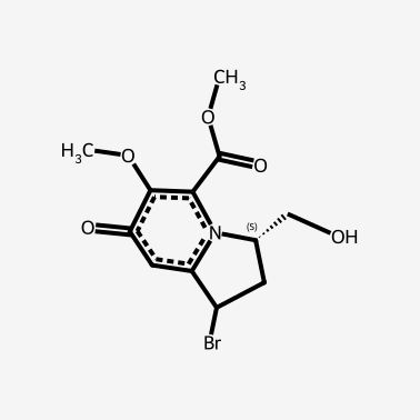 COC(=O)c1c(OC)c(=O)cc2n1[C@H](CO)CC2Br